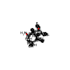 CC(O)[C@@H]1NC(=O)[C@H](CCCCN)NC(=O)[C@@H](Cc2c[nH]c3ccccc23)NC(=O)[C@H](Cc2ccccc2)NC(=O)[C@@H](NC(=O)[C@H](N)Cc2ccccc2)CSSC[C@@H](C(=O)N[C@H](CO)[C@@H](C)O)NC1=O.OC(CNCC(O)C1CCc2cc(F)ccc2O1)C1CCc2cc(F)ccc2O1